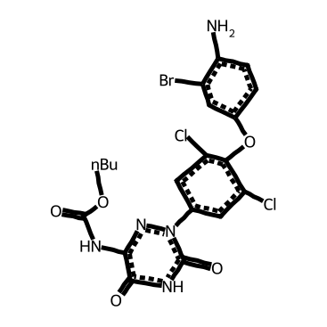 CCCCOC(=O)Nc1nn(-c2cc(Cl)c(Oc3ccc(N)c(Br)c3)c(Cl)c2)c(=O)[nH]c1=O